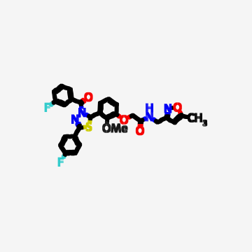 COc1c(OCC(=O)NCc2cc(C)on2)cccc1C1SC(c2ccc(F)cc2)=NN1C(=O)c1cccc(F)c1